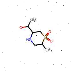 CC1CNC(C([O])C(C)(C)C)CS1(=O)=O